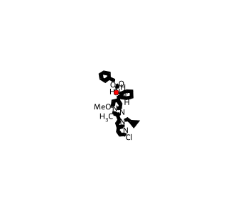 COc1cc(C(=O)N2[C@H]3CC[C@@H]2[C@H](NC(=O)OCc2ccccc2)C3)cc2nc(-c3cc4ccc(Cl)nc4n3CC3CC3)c(C)n12